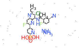 Cc1nc2cc(F)c(-c3ccc(P(=O)(O)O)nc3)nc2c(N[C@H](C)c2cc(C#N)ccc2F)c1Cl.N.N